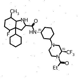 CCC(=O)N1CCN(C2CCC[C@@H](NC(=O)C3CC4(C5CCCCC5)C(F)CCC(C)C4N3)C2)C[C@H]1C(F)(F)F